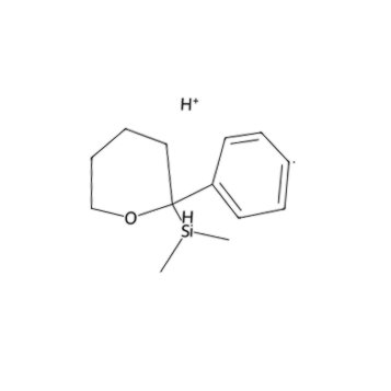 C[SiH](C)C1(c2cc[c]cc2)CCCCO1.[H+]